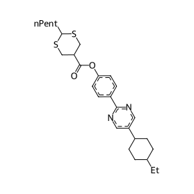 CCCCCC1SCC(C(=O)Oc2ccc(-c3ncc(C4CCC(CC)CC4)cn3)cc2)CS1